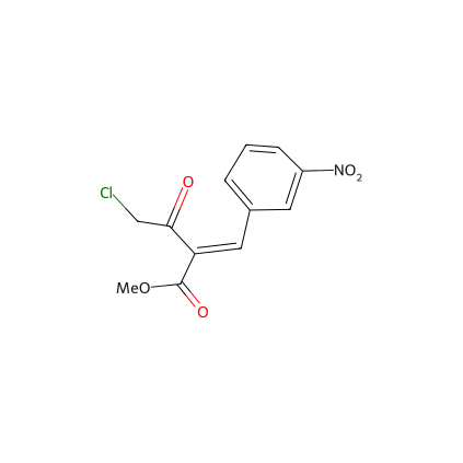 COC(=O)C(=Cc1cccc([N+](=O)[O-])c1)C(=O)CCl